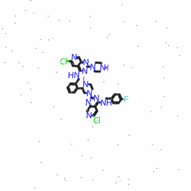 Fc1ccc(CNc2nc(N3CCN(I)C(c4ccccc4CNc4nc(N5CCN(I)CC5)nc5cnc(Cl)cc45)C3)nc3cnc(Cl)cc23)cc1